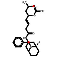 CC(C)CC(/C=C/CC(=O)NC1CC2CCC[C@@H](C1)N2Cc1ccccc1)NC(=O)O